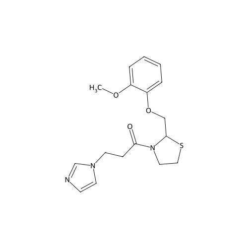 COc1ccccc1OCC1SCCN1C(=O)CCn1ccnc1